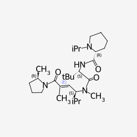 C/C(=C\[C@H](C(C)C)N(C)C(=O)[C@@H](NC(=O)[C@H]1CCCCN1C(C)C)C(C)(C)C)C(=O)N1CCC[C@H]1C